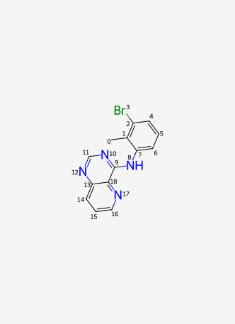 Cc1c(Br)cccc1Nc1ncnc2cccnc12